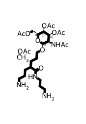 CC(=O)N[C@H]1[C@H](OCCCC(CCCN)C(=O)NCCCN)O[C@H](COC(C)=O)[C@H](OC(C)=O)[C@@H]1OC(C)=O.COC(C)=O